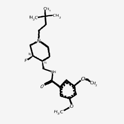 COc1cc(OC)cc(C(=O)NC[C@@H]2CCN(CCC(C)(C)C)C[C@@H]2F)c1